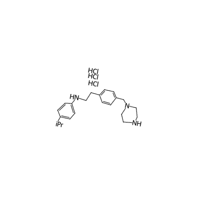 CC(C)c1ccc(NCCc2ccc(CN3CCNCC3)cc2)cc1.Cl.Cl.Cl